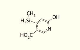 C[SiH2]c1cc(O)ncc1C(=O)O